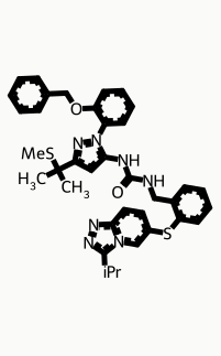 CSC(C)(C)c1cc(NC(=O)NCc2ccccc2Sc2ccc3nnc(C(C)C)n3c2)n(-c2ccccc2OCc2ccccc2)n1